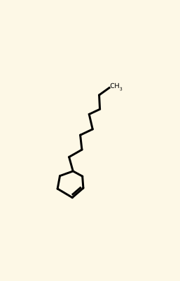 CCCCCCCCC1CC=CCC1